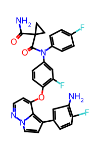 NC(=O)C1(C(=O)N(c2ccc(F)cc2)c2ccc(Oc3ccnn4ccc(-c5ccc(F)c(N)c5)c34)c(F)c2)CC1